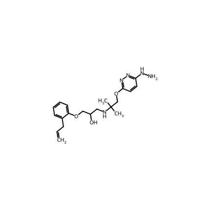 C=CCc1ccccc1OCC(O)CNC(C)(C)COc1ccc(NN)nn1